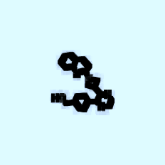 OCc1ccc(-c2nccnc2C2CN(c3ccc4ccccc4n3)C2)cc1